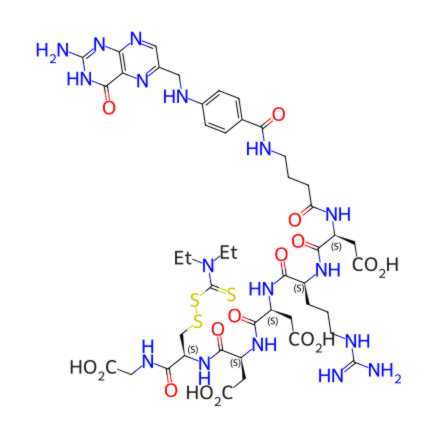 CCN(CC)C(=S)SSC[C@@H](NC(=O)[C@H](CC(=O)O)NC(=O)[C@H](CC(=O)O)NC(=O)[C@H](CCCNC(=N)N)NC(=O)[C@H](CC(=O)O)NC(=O)CCCNC(=O)c1ccc(NCc2cnc3nc(N)[nH]c(=O)c3n2)cc1)C(=O)NCC(=O)O